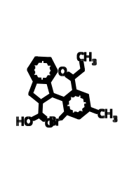 CCC(=O)c1cc(C)cc(Br)c1C1c2ccccc2CC1C(=O)O